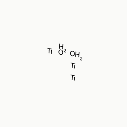 O.O.[Ti].[Ti].[Ti]